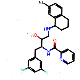 CCc1ccc2c(c1)C(NCC(O)C(Cc1cc(F)cc(F)c1)NC(=O)c1ccccn1)CCC2